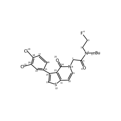 CCCCN(CCF)C(=O)Cn1ccc2scc(-c3ccc(Cl)c(Cl)c3)c2c1=O